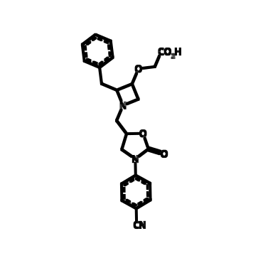 N#Cc1ccc(N2CC(CN3CC(OCC(=O)O)C3Cc3ccccc3)OC2=O)cc1